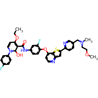 CCOC1=C(C(=O)Nc2ccc(Oc3ccnc4cc(-c5ccc(CN(C)CCOC)cn5)sc34)c(F)c2)C(O)N(c2ccc(F)cc2)C=C1